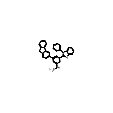 BPc1cc(-c2ccc3c(c2)-c2ccccc2C3)cc(-c2nc3ccccc3n2-c2ccccc2)c1